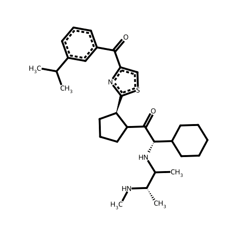 CN[C@@H](C)C(C)N[C@H](C(=O)C1CCC[C@H]1c1nc(C(=O)c2cccc(C(C)C)c2)cs1)C1CCCCC1